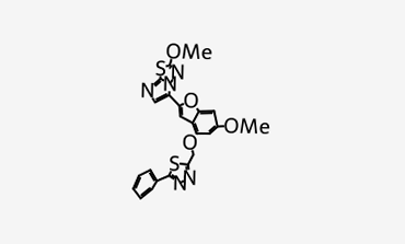 COc1cc(OCc2nnc(-c3ccccc3)s2)c2cc(-c3cnc4sc(OC)nn34)oc2c1